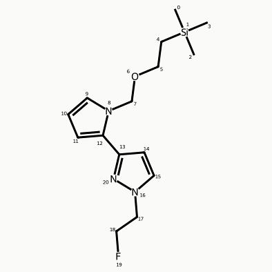 C[Si](C)(C)CCOCn1cccc1-c1ccn(CCF)n1